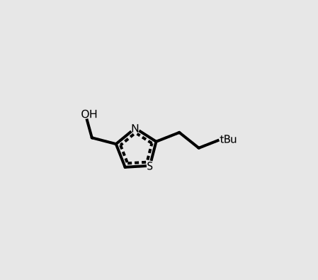 CC(C)(C)CCc1nc(CO)cs1